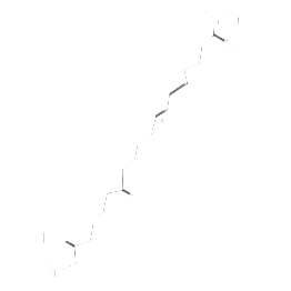 C=C(CCCC)CCC/C=C/C=C/CCCCC(=O)CCCCC(=C)CC(C)C